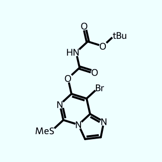 CSc1nc(OC(=O)NC(=O)OC(C)(C)C)c(Br)c2nccn12